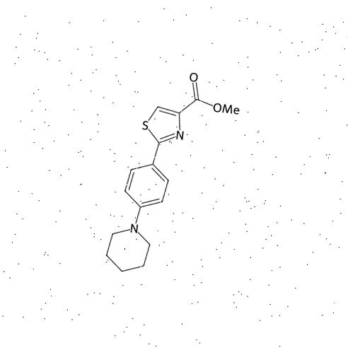 COC(=O)c1csc(-c2ccc(N3CCCCC3)cc2)n1